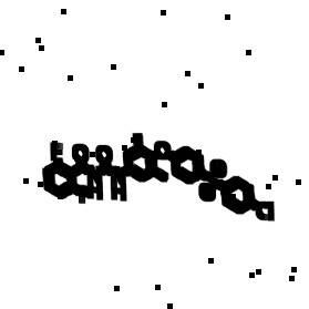 Cc1cc(NC(=O)NC(=O)c2c(F)cccc2F)cc(C)c1Oc1ccc(S(=O)(=O)c2ccc(Cl)cc2)cc1